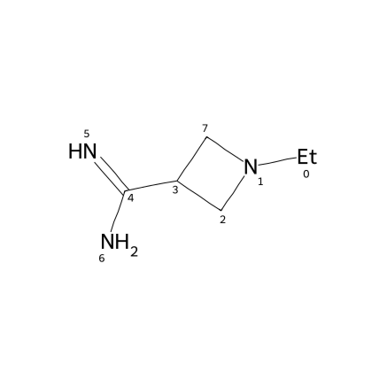 CCN1CC(C(=N)N)C1